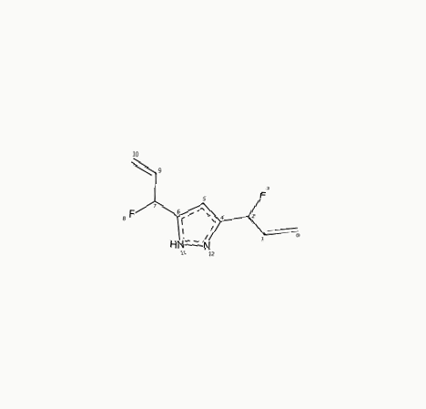 C=CC(F)c1cc(C(F)C=C)[nH]n1